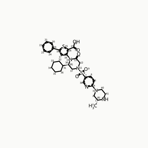 C[C@@H]1CN(c2ccc(S(=O)(=O)N3CC(=O)N(c4cc(-c5ccccc5)sc4C(=O)O)[C@H](C4CCCCC4)C3)cn2)CCN1